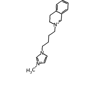 C[n+]1ccn(CCCC[N+]2=Cc3ccccc3CC2)c1